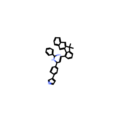 CC1(C)c2cc3ccccc3cc2-c2c(/C=C/C(NC(N)c3ccccc3)c3ccc(C4=CC=[N+]=C4)cc3)cccc21